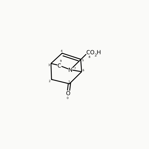 O=C1CC2C=CC1N(C(=O)O)C2